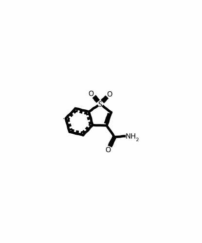 NC(=O)C1=CS(=O)(=O)c2c[c]ccc21